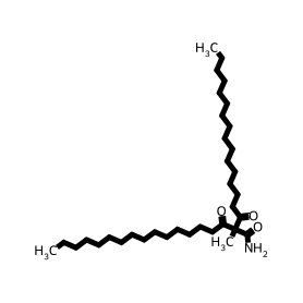 CCCCCCCCCCCCCCCC(=O)C(C)(C(N)=O)C(=O)CCCCCCCCCCCCCCC